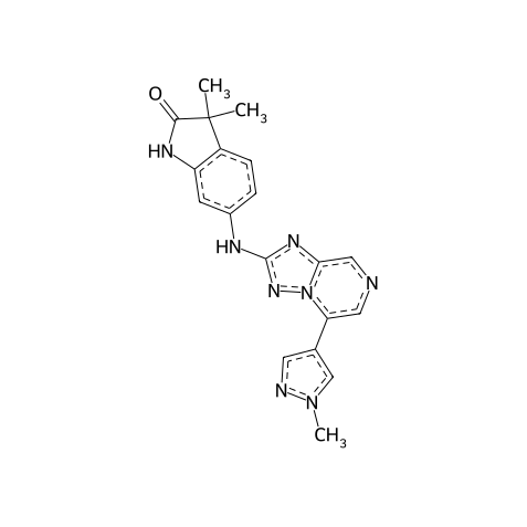 Cn1cc(-c2cncc3nc(Nc4ccc5c(c4)NC(=O)C5(C)C)nn23)cn1